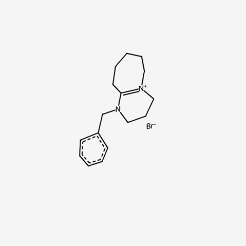 [Br-].c1ccc(CN2CCC[N+]3=C2CCCCC3)cc1